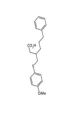 COc1ccc(SCC(CCCc2ccccc2)CC(=O)O)cc1